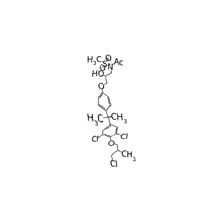 CC(=O)N(CC(O)COc1ccc(C(C)(C)c2cc(Cl)c(OCC(C)CCl)c(Cl)c2)cc1)S(C)(=O)=O